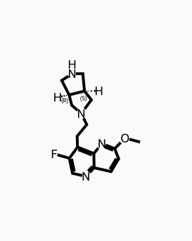 COc1ccc2ncc(F)c(CCN3C[C@H]4CNC[C@H]4C3)c2n1